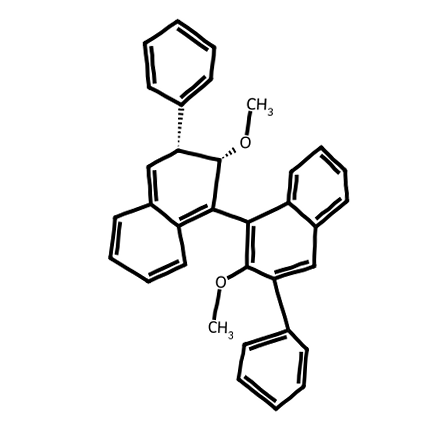 COc1c(-c2ccccc2)cc2ccccc2c1C1=c2ccccc2=C[C@H](c2ccccc2)[C@@H]1OC